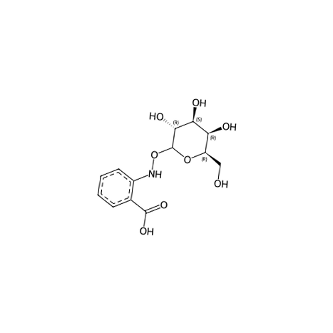 O=C(O)c1ccccc1NOC1O[C@H](CO)[C@H](O)[C@H](O)[C@H]1O